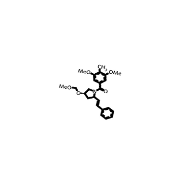 COCO[C@@H]1CC(C=Cc2ccccc2)N(C(=O)c2cc(OC)c(C)c(OC)c2)C1